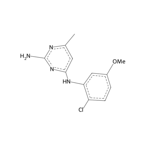 COc1ccc(Cl)c(Nc2cc(C)nc(N)n2)c1